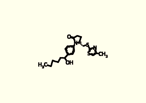 CCCCCC(O)c1ccc(N2C(=O)CC[C@@H]2CSc2nc(C)cs2)cc1